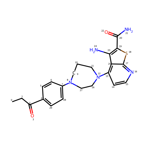 CCC(=O)c1ccc(N2CCCN(c3ccnc4sc(C(N)=O)c(N)c34)CC2)cc1